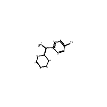 CC(C)[C](c1ccc(F)cc1)C1CCCCC1